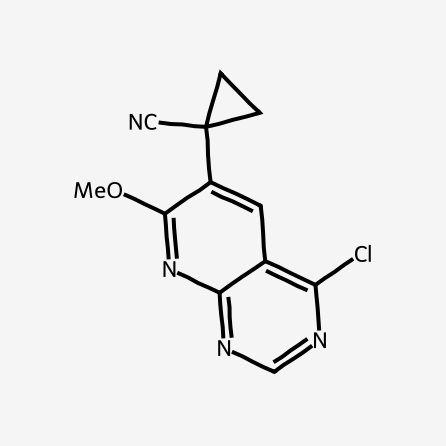 COc1nc2ncnc(Cl)c2cc1C1(C#N)CC1